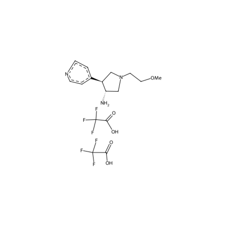 COCCN1C[C@H](c2ccncc2)[C@@H](N)C1.O=C(O)C(F)(F)F.O=C(O)C(F)(F)F